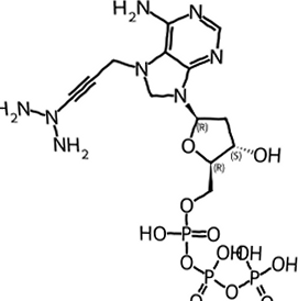 Nc1ncnc2c1N(CC#CN(N)N)CN2[C@H]1C[C@H](O)[C@@H](COP(=O)(O)OP(=O)(O)OP(=O)(O)O)O1